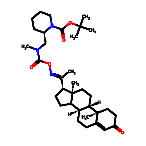 C/C(=N\OC(=O)N(C)C[C@@H]1CCCCN1C(=O)OC(C)(C)C)[C@H]1CCC2[C@@H]3CCC4=CC(=O)CC[C@]4(C)[C@H]3CC[C@@]21C